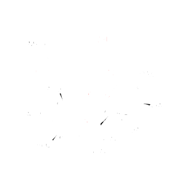 COC(=O)c1cc(O)c(OC2O[C@H](COC(C)=O)[C@@H](OC(C)=O)[C@H](OC(C)=O)[C@H]2OC(C)=O)c(OC2O[C@H](COC(C)=O)[C@@H](OC(C)=O)[C@H](OC(C)=O)[C@H]2OC(C)=O)c1